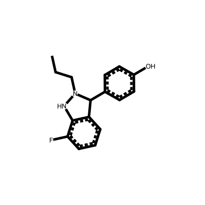 CCCN1Nc2c(F)cccc2C1c1ccc(O)cc1